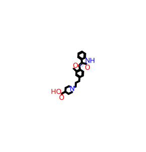 O=C1Nc2ccccc2/C1=C1\OCc2cc(CCCN3CCC(C(=O)O)CC3)ccc21